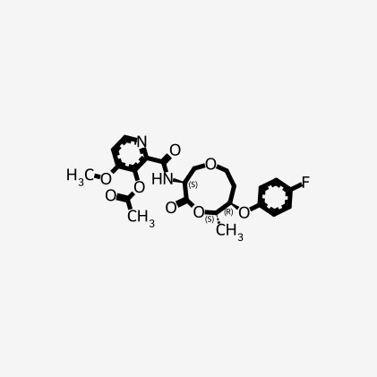 COc1ccnc(C(=O)N[C@H]2COCC[C@@H](Oc3ccc(F)cc3)[C@H](C)OC2=O)c1OC(C)=O